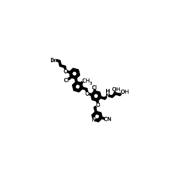 Cc1c(COc2cc(OCc3cncc(C#N)c3)c(CNC[C@@H](O)CO)cc2Cl)cccc1-c1cccc(OCCCBr)c1Cl